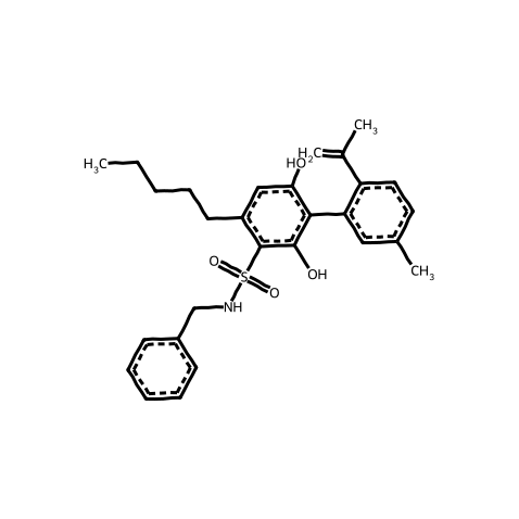 C=C(C)c1ccc(C)cc1-c1c(O)cc(CCCCC)c(S(=O)(=O)NCc2ccccc2)c1O